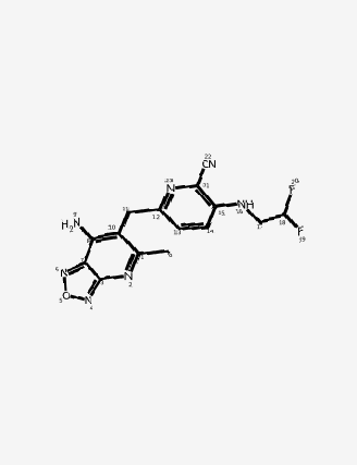 Cc1nc2nonc2c(N)c1Cc1ccc(NCC(F)F)c(C#N)n1